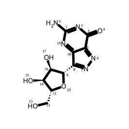 NC1=NC(=O)C2=NN=C([C@@H]3O[C@H](CO)[C@@H](O)[C@H]3O)C2=N1